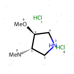 CN[C@H]1CNC[C@@H]1OC.Cl.Cl